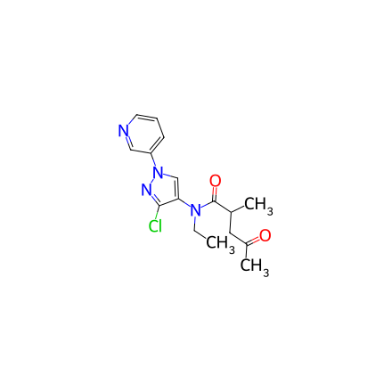 CCN(C(=O)C(C)CC(C)=O)c1cn(-c2cccnc2)nc1Cl